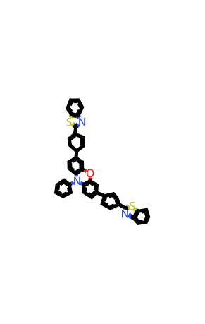 C1=CC(c2ccc3c(c2)Oc2cc(-c4ccc(-c5nc6ccccc6s5)cc4)ccc2N3c2ccccc2)CC=C1c1nc2ccccc2s1